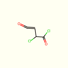 O=C=CC(Cl)C(=O)Cl